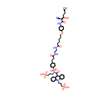 C#CCC/C(O)=C(\C#N)C(=O)Nc1ccc(OCCCCCC(=O)NCCNC(=O)CCc2ccc(S(=O)(=O)N(CCCS(=O)(=O)O)C(=O)c3c4ccccc4[n+](CCCS(=O)(=O)O)c4ccccc34)cc2)cc1